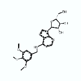 COc1cc(CNc2ncnc3c2ncn3C2O[C@H](CO)[C@@H](O)[C@@H]2O)cc(OC)c1OC